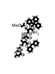 COCC(C)ON=C(C(=O)N[C@@H]1C(=O)N2C(C(=O)OC(c3ccccc3)c3ccccc3)=C(CSc3nn4c(=O)cc(C)nc4s3)CS[C@H]12)c1nc(C(c2ccccc2)(c2ccccc2)c2ccccc2)sc1N